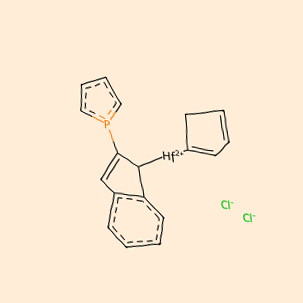 C1=CC[C]([Hf+2][CH]2C(p3cccc3)=Cc3ccccc32)=C1.[Cl-].[Cl-]